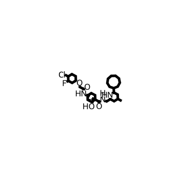 CC1CC(CNC(=O)C23CCC(NC(=O)COC4CCC(Cl)C(F)C4)(CC2)CC3O)NC(C2CCCCCCCC2)C1